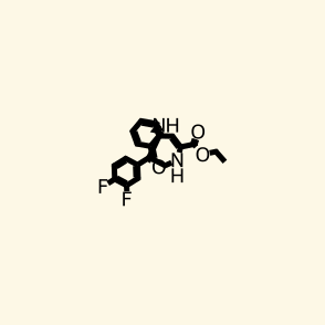 CCOC(=O)C1=CC23C(=CCN1)C=CC=C2NCC3C(=O)c1ccc(F)c(F)c1